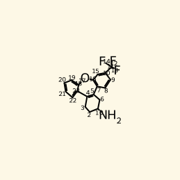 NC1CCC2=C(C1)c1ccc(C(F)(F)F)cc1Oc1ccccc12